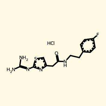 Cl.NC(N)=Nc1nc(CC(=O)NCCc2ccc(F)cc2)cs1